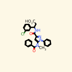 CN(C(=O)c1ccccc1)c1cc(C(=O)NC(CC(=O)O)c2cccc(Cl)c2)nn1-c1ccccc1